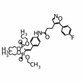 CCOP(=O)(OCC)C(=Cc1ccc(NC(=O)CCc2cnoc2-c2ccc(F)cc2)cc1)P(=O)(OCC)OCC